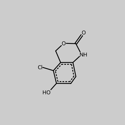 O=C1Nc2ccc(O)c(Cl)c2CO1